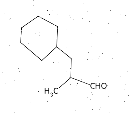 CC([C]=O)CC1CCCCC1